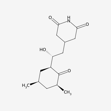 C[C@H]1C[C@@H]([C@H](O)CC2CC(=O)NC(=O)C2)C(=O)[C@@H](C)C1